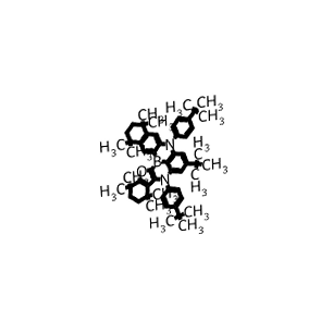 CC(C)(C)c1ccc(N2c3cc4c(cc3B3c5oc6c(c5N(c5ccc(C(C)(C)C)cc5)c5cc(C(C)(C)C)cc2c53)C(C)(C)CCC6(C)C)C(C)(C)CCC4(C)C)cc1